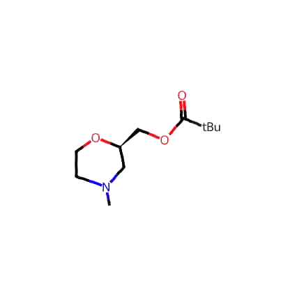 CN1CCO[C@@H](COC(=O)C(C)(C)C)C1